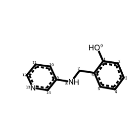 Oc1ccccc1CNc1cccnc1